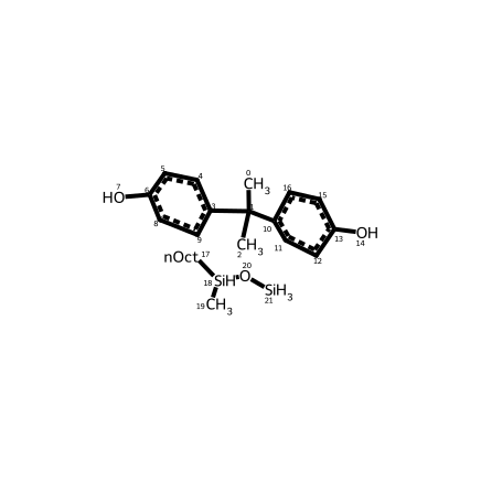 CC(C)(c1ccc(O)cc1)c1ccc(O)cc1.CCCCCCCC[SiH](C)O[SiH3]